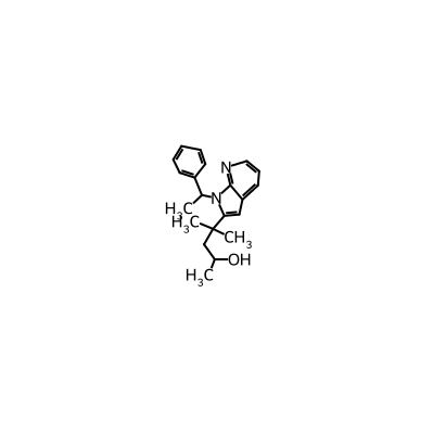 CC(O)CC(C)(C)c1cc2cccnc2n1C(C)c1ccccc1